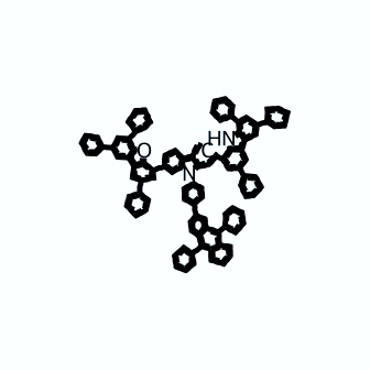 c1ccc(-c2cc(-c3ccccc3)c3[nH]c4c(-c5ccc6c7ccc(-c8cc(-c9ccccc9)cc9c8oc8c(-c%10ccccc%10)cc(-c%10ccccc%10)cc89)cc7n(-c7ccc(-c8ccc9c(-c%10ccccc%10)c%10ccccc%10c(-c%10ccccc%10)c9c8)cc7)c6c5)cc(-c5ccccc5)cc4c3c2)cc1